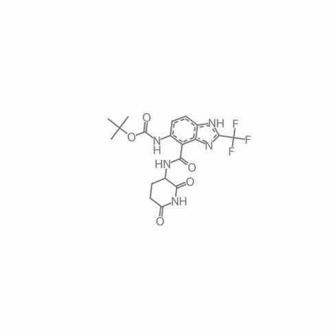 CC(C)(C)OC(=O)Nc1ccc2[nH]c(C(F)(F)F)nc2c1C(=O)NC1CCC(=O)NC1=O